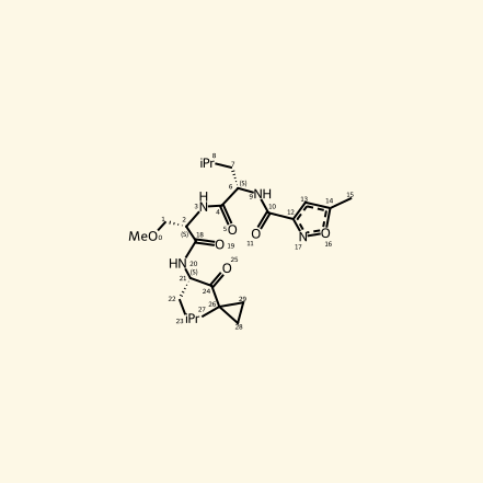 COC[C@H](NC(=O)[C@H](CC(C)C)NC(=O)c1cc(C)on1)C(=O)N[C@@H](CC(C)C)C(=O)C1(C)CC1